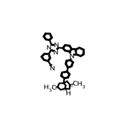 C[C@@H]1C[C@@H]2C[C@H](C)CC(c3ccc(-c4ccc(-n5c6ccccc6c6ccc(-c7nc(-c8ccccc8)nc(-c8cccc(C#N)c8)n7)cc65)cc4)cc3)(C1)C2